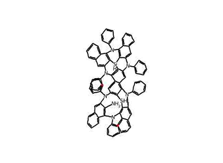 Nc1c2cc3ccccc3c1N(c1ccccc1)c1c3c(cc4ccccc14)N(c1ccccc1)c1c(c(cc4c5c6c(cc14)N(c1ccccc1)c1cc4ccccc4c4c1[SiH]6c1c(cc6ccccc6c1N4c1ccccc1)N5c1ccccc1)N2c1ccccc1)[SiH2]3